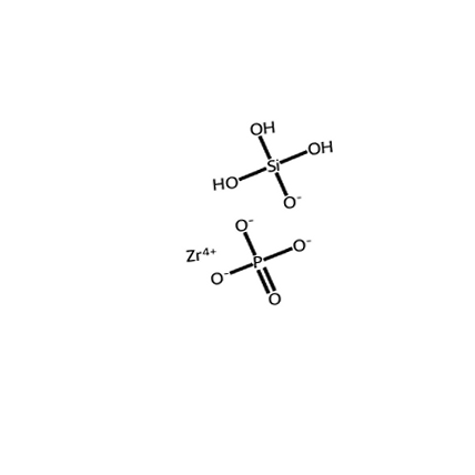 O=P([O-])([O-])[O-].[O-][Si](O)(O)O.[Zr+4]